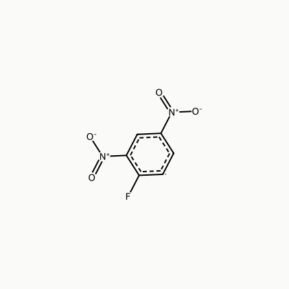 O=[N+]([O-])c1c[c]c(F)c([N+](=O)[O-])c1